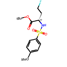 COc1ccc(S(=O)(=O)N[C@@H](CCF)C(=O)OC(C)(C)C)cc1